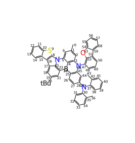 Cc1cc2c3c(c1)-n1c4sc5ccccc5c4c4cc(C(C)(C)C)cc(c41)B3c1ccc(N(c3ccccc3C)c3ccccc3C)cc1N2c1cccc2c1oc1ccccc12